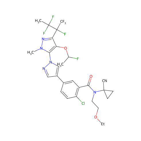 CCOCCN(C(=O)c1cc(-c2cnn(-c3c(OC(C)F)c(C(F)(C(C)(F)F)C(F)(F)F)nn3C)c2)ccc1Cl)C1(C#N)CC1